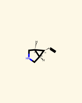 C=C[C@@H]1[C@H]2CNC[C@@H]12